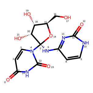 O=c1ccn([C@]2(Nc3cc[nH]c(=O)n3)O[C@H](CO)[C@@H](O)[C@H]2O)c(=O)[nH]1